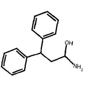 NC(O)CC(c1ccccc1)c1ccccc1